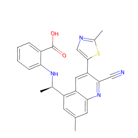 Cc1cc([C@@H](C)Nc2ccccc2C(=O)O)c2cc(-c3cnc(C)s3)c(C#N)nc2c1